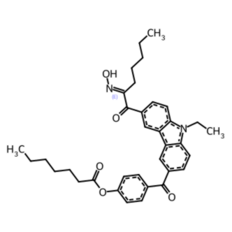 CCCCCCC(=O)Oc1ccc(C(=O)c2ccc3c(c2)c2cc(C(=O)/C(CCCCC)=N/O)ccc2n3CC)cc1